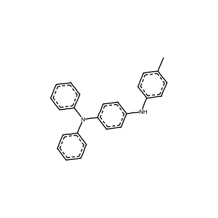 Cc1ccc(Nc2ccc(N(c3ccccc3)c3ccccc3)cc2)cc1